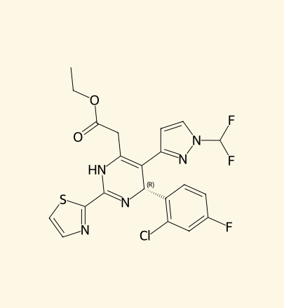 CCOC(=O)CC1=C(c2ccn(C(F)F)n2)[C@H](c2ccc(F)cc2Cl)N=C(c2nccs2)N1